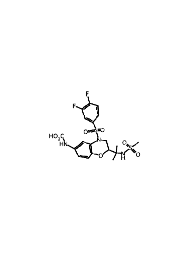 CC(C)(NS(C)(=O)=O)C1CN(S(=O)(=O)c2ccc(F)c(F)c2)c2cc(NC(=O)O)ccc2O1